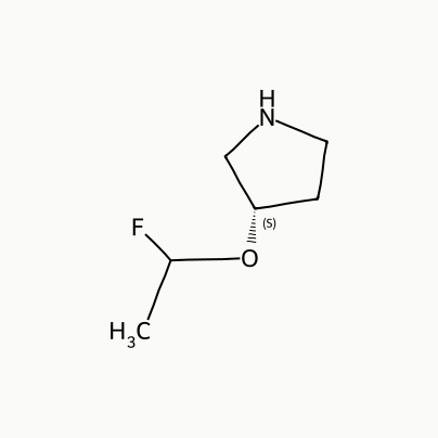 CC(F)O[C@H]1CCNC1